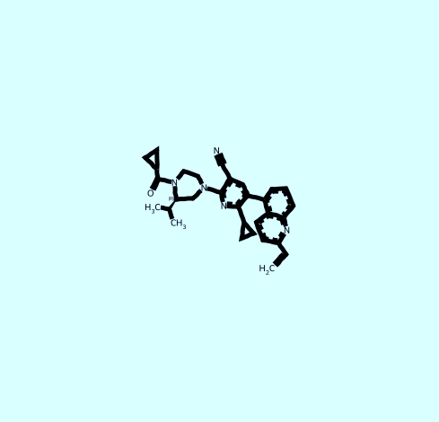 C=Cc1ccc2c(-c3cc(C#N)c(N4CCN(C(=O)C5CC5)[C@H](C(C)C)C4)nc3C3CC3)cccc2n1